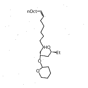 CCCCCCCC/C=C\CCCCCCC[C@@H](C[C@@H](O)CC)OC1CCCCO1